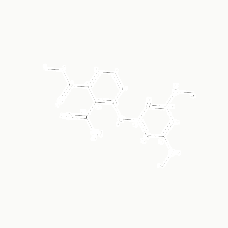 CCC(=O)c1cccc(Oc2nc(OC)cc(OC)n2)c1C(=O)O